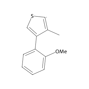 COc1ccccc1-c1cs[c]c1C